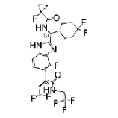 O=C(NCC(F)(F)F)[C@@H](CC(F)F)c1ccc2[nH]c([C@@H](NC(=O)C3(F)CC3)C3CCC(F)(F)CC3)nc2c1F